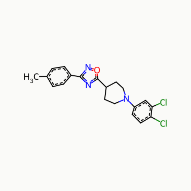 Cc1ccc(-c2noc(C3CCN(c4ccc(Cl)c(Cl)c4)CC3)n2)cc1